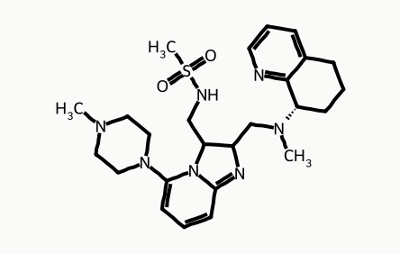 CN1CCN(C2=CC=CC3=NC(CN(C)[C@H]4CCCc5cccnc54)C(CNS(C)(=O)=O)N23)CC1